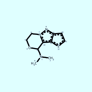 CN(C)C1OCCn2nc3ccsc3c21